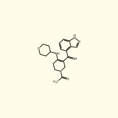 CC(=O)N1CCC(NC2CCOCC2)=C(C(=N)c2cccc3[nH]ncc23)C1